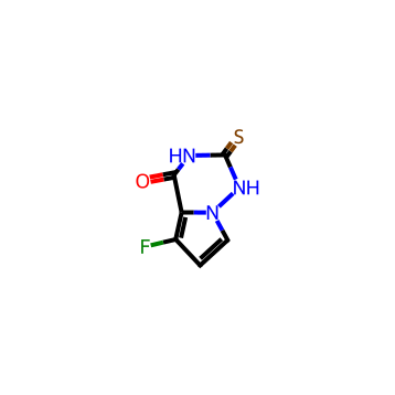 O=c1[nH]c(=S)[nH]n2ccc(F)c12